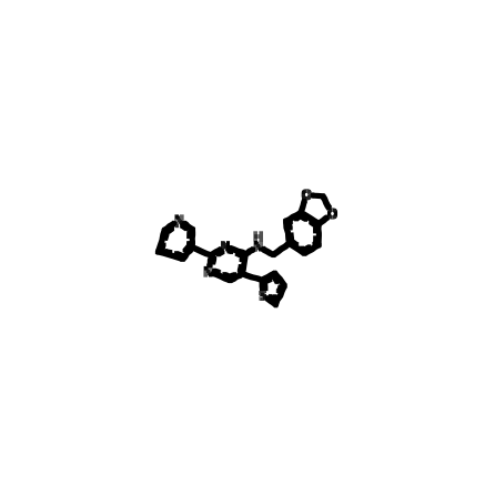 c1cncc(-c2ncc(-c3cccs3)c(NCc3ccc4c(c3)OCO4)n2)c1